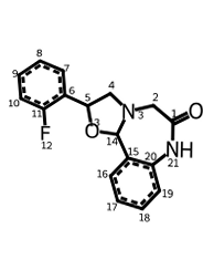 O=C1CN2CC(c3ccccc3F)OC2c2ccccc2N1